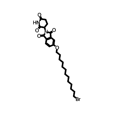 O=C1CCC(N2C(=O)c3ccc(OCCCCCCCCCCCCCBr)cc3C2=O)C(=O)N1